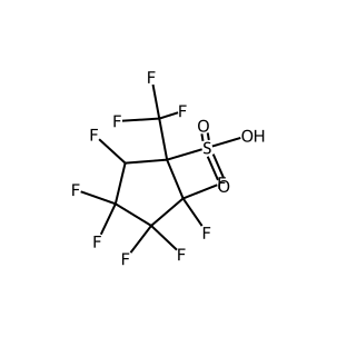 O=S(=O)(O)C1(C(F)(F)F)C(F)C(F)(F)C(F)(F)C1(F)F